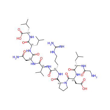 CC(C)C[C@H](NC(=O)[C@H](CC(C)C)NC(=O)[C@H](CC(N)=O)NC(=O)[C@@H](NC(=O)[C@H](CCCNC(=N)N)NC(=O)[C@@H]1CCCN1C(=O)[C@H](CC(=O)O)NC(=O)[C@H](CC(C)C)NC(=O)CN)C(C)C)C(=O)O